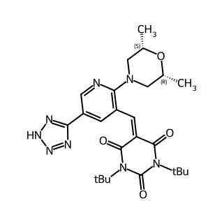 C[C@@H]1CN(c2ncc(-c3nn[nH]n3)cc2C=C2C(=O)N(C(C)(C)C)C(=O)N(C(C)(C)C)C2=O)C[C@H](C)O1